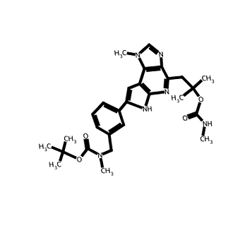 CNC(=O)OC(C)(C)Cc1nc2[nH]c(-c3cccc(CN(C)C(=O)OC(C)(C)C)c3)cc2c2c1ncn2C